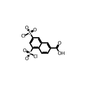 O=C(O)c1ccc2c(S(=O)(=O)Cl)cc(S(=O)(=O)Cl)cc2c1